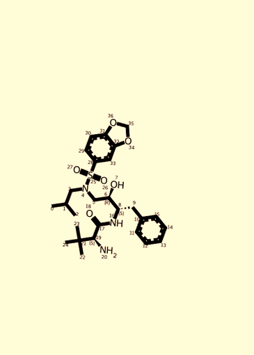 CC(C)CN(C[C@@H](O)[C@H](Cc1ccccc1)NC(=O)[C@@H](N)C(C)(C)C)S(=O)(=O)c1ccc2c(c1)OCO2